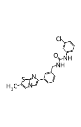 Cc1cn2cc(-c3cccc(CNC(=O)Nc4cccc(Cl)c4)c3)nc2s1